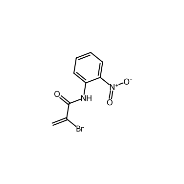 C=C(Br)C(=O)Nc1ccccc1[N+](=O)[O-]